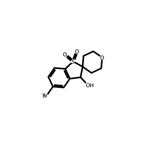 O=S1(=O)c2ccc(Br)cc2C(O)C12CCOCC2